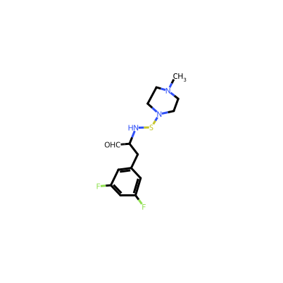 CN1CCN(SNC(C=O)Cc2cc(F)cc(F)c2)CC1